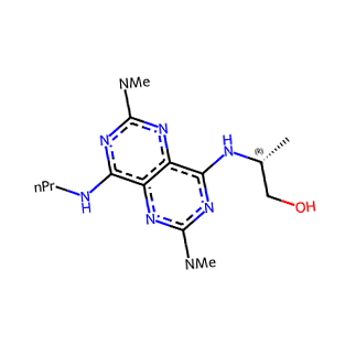 CCCNc1nc(NC)nc2c(N[C@H](C)CO)nc(NC)nc12